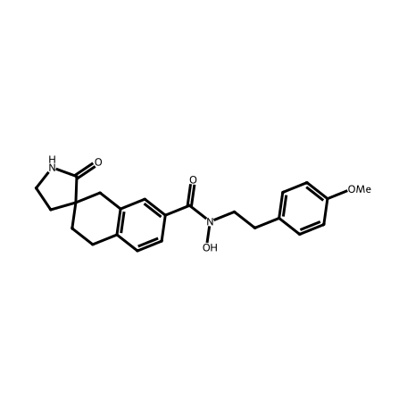 COc1ccc(CCN(O)C(=O)c2ccc3c(c2)CC2(CCNC2=O)CC3)cc1